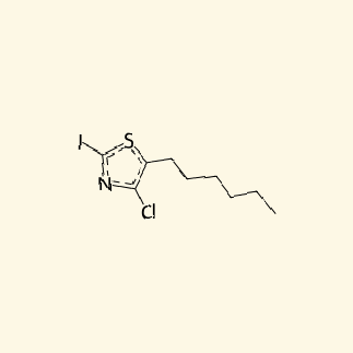 CCCCCCc1sc(I)nc1Cl